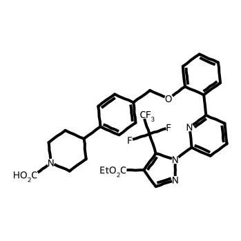 CCOC(=O)c1cnn(-c2cccc(-c3ccccc3OCc3ccc(C4CCN(C(=O)O)CC4)cc3)n2)c1C(F)(F)C(F)(F)F